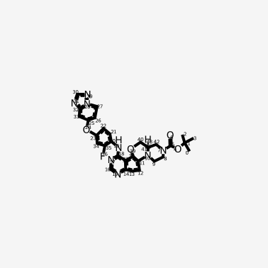 CC(C)(C)OC(=O)N1CCN2c3ccc4ncnc(Nc5ccc(Oc6ccn7ncnc7c6)cc5F)c4c3OC[C@H]2C1